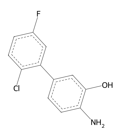 Nc1ccc(-c2cc(F)ccc2Cl)cc1O